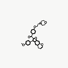 COc1ccc(-c2c(C(=O)c3ccc(OCCN4CCOCC4)cc3)oc3cc4c(cc23)CC=CO4)cc1